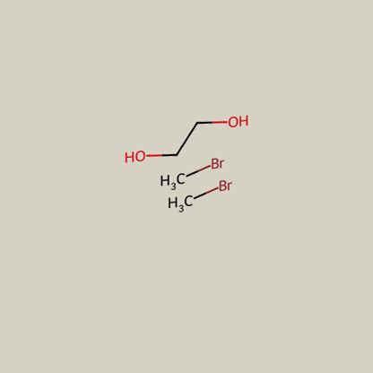 CBr.CBr.OCCO